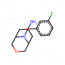 NC1CC2COCC(C1)N2Cc1cccc(F)c1